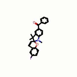 CN1c2ccc(C(=O)c3ccccc3)cc2C(C)(C)C12C=Cc1cc(I)ccc1O2